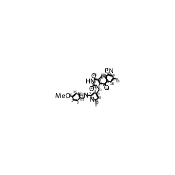 COc1ccc(CNc2cc(Cn3c(C(=O)c4cc(C)cc(C#N)c4)c(C(C)C)c(=O)[nH]c3=O)cc(F)n2)cc1